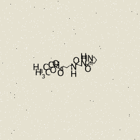 CC(C)(C)OC(=O)C(=O)CCCNC(=O)CNC(=O)[C@@H]1CCCN1